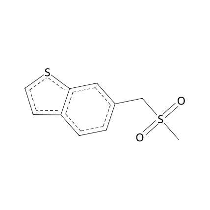 CS(=O)(=O)Cc1ccc2ccsc2c1